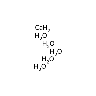 O.O.O.O.O.[CaH2]